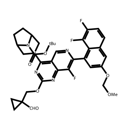 COCOc1cc(-c2ncc3c(N4CC5CCC(C4)N5C(=O)OC(C)(C)C)nc(OCC4(C=O)CC4)nc3c2F)c2c(F)c(F)ccc2c1